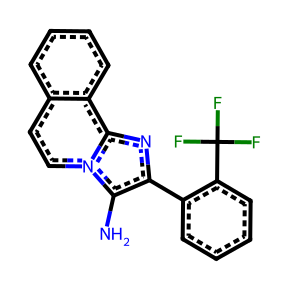 Nc1c(-c2ccccc2C(F)(F)F)nc2c3ccccc3ccn12